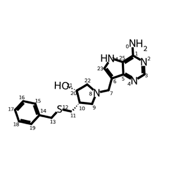 Nc1ncnc2c(CN3C[C@H](CSCc4ccccc4)[C@H](O)C3)c[nH]c12